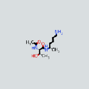 CC(=O)N[C@H](C(=O)N[C@@H](C)CCCCN)[C@H](C)O